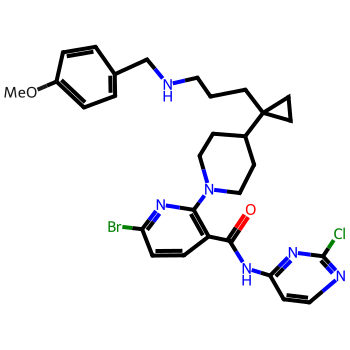 COc1ccc(CNCCCC2(C3CCN(c4nc(Br)ccc4C(=O)Nc4ccnc(Cl)n4)CC3)CC2)cc1